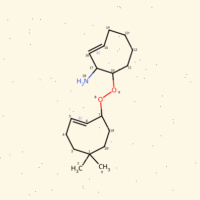 CC1(C)CC/C=C/C(OOC2CCCC/C=C/C2N)CC1